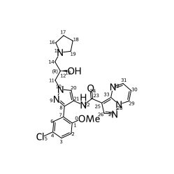 COc1ccc(Cl)cc1-c1nn(C[C@H](O)CN2CCCC2)cc1NC(=O)c1cnn2cccnc12